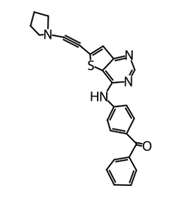 O=C(c1ccccc1)c1ccc(Nc2ncnc3cc(C#CN4CCCC4)sc23)cc1